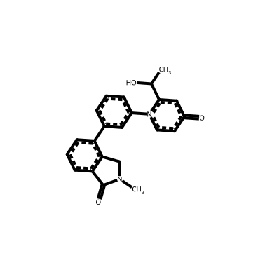 CC(O)c1cc(=O)ccn1-c1cccc(-c2cccc3c2CN(C)C3=O)c1